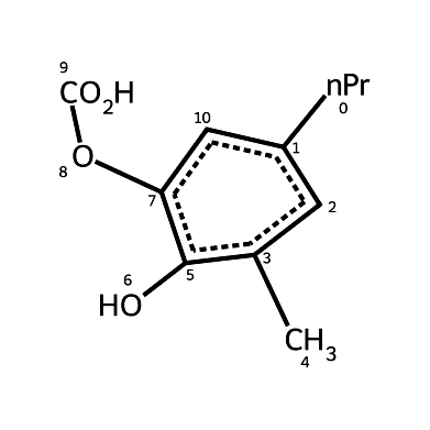 CCCc1cc(C)c(O)c(OC(=O)O)c1